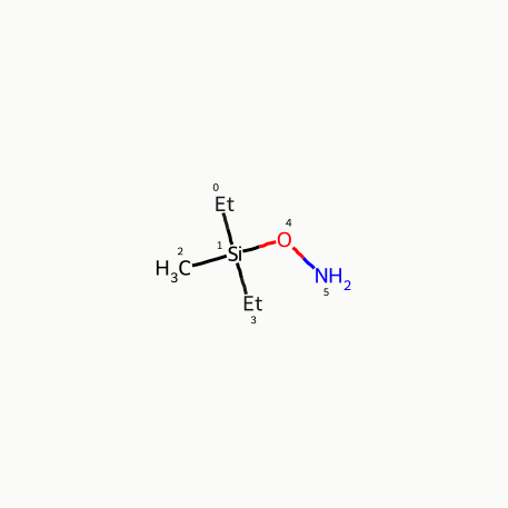 CC[Si](C)(CC)ON